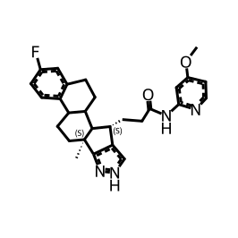 COc1ccnc(NC(=O)CC[C@@H]2c3c[nH]nc3[C@@]3(C)CCC4c5ccc(F)cc5CCC4C23)c1